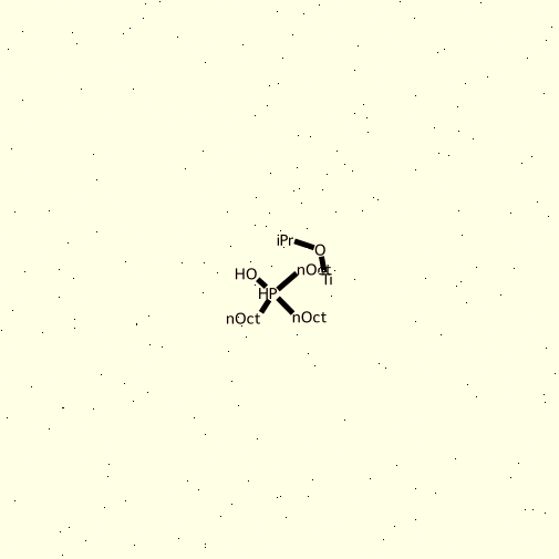 CC(C)[O][Ti].CCCCCCCC[PH](O)(CCCCCCCC)CCCCCCCC